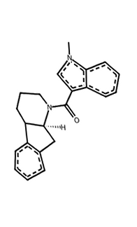 Cn1cc(C(=O)N2CCCC3c4ccccc4C[C@@H]32)c2ccccc21